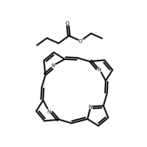 C1=CC2=NC1=CC1=NC(=CC3=NC(=CC4=NC(=C2)C=C4)C=C3)C=C1.CCCC(=O)OCC